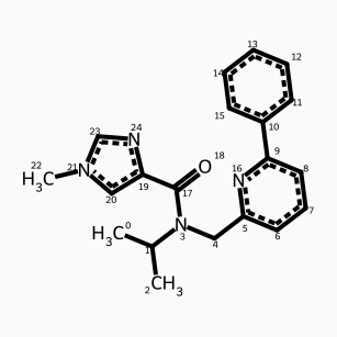 CC(C)N(Cc1cccc(-c2ccccc2)n1)C(=O)c1cn(C)cn1